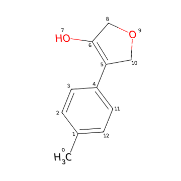 Cc1ccc(C2=C(O)COC2)cc1